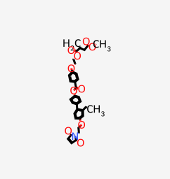 C=C(CC(=O)OC)C(=O)OCCOc1ccc(C(=O)Oc2ccc(-c3ccc(OCCN4C(=O)C=CC4=O)cc3CC)cc2)cc1